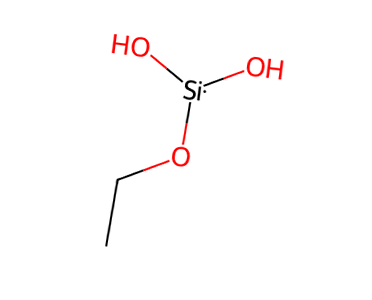 CCO[Si](O)O